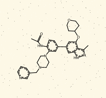 CC(=O)Nc1ccc(-c2cc(OC3CCOCC3)c3c(C)n[nH]c3c2)cc1N1CCN(Cc2cccnc2)CC1